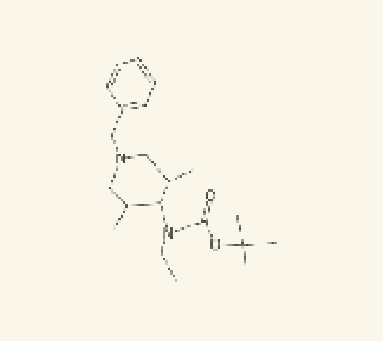 CCN(C(=O)OC(C)(C)C)C1C(C)CN(Cc2ccccc2)CC1C